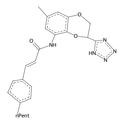 CCCCCc1ccc(/C=C/C(=O)Nc2cc(C)cc3c2OC(c2nnn[nH]2)CO3)cc1